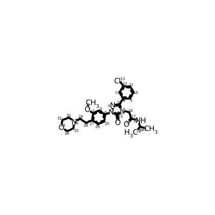 COc1cc(-n2nc(-c3cccc(Cl)c3)n(CC(=O)NC(C)C)c2=O)ccc1CCN1CCOCC1